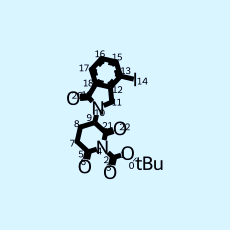 CC(C)(C)OC(=O)N1C(=O)CCC(N2Cc3c(I)cccc3C2=O)C1=O